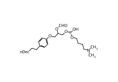 CCCCCCCCCCCCc1ccc(OCC(COP(O)OCCCCN(C)C)OC=O)cc1